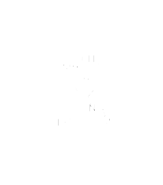 CCCN1C(=O)CCc2cc(C(C)=O)ccc21